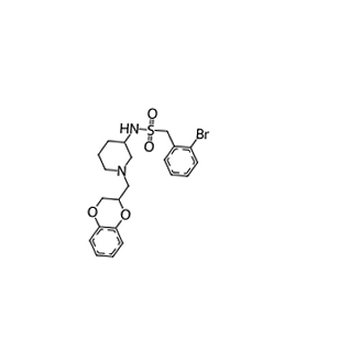 O=S(=O)(Cc1ccccc1Br)NC1CCCN(CC2COc3ccccc3O2)C1